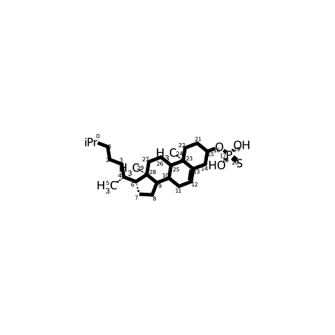 CC(C)CCC[C@@H](C)[C@H]1CCC2C3CC=C4CC(OP(O)(O)=S)CC[C@]4(C)C3CC[C@@]21C